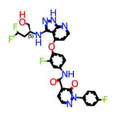 O=C(Nc1ccc(Oc2ccnc3[nH]nc(N[C@H](CO)CC(F)F)c23)c(F)c1)c1ccnn(-c2ccc(F)cc2)c1=O